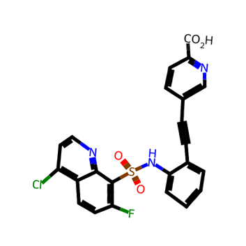 O=C(O)c1ccc(C#Cc2ccccc2NS(=O)(=O)c2c(F)ccc3c(Cl)ccnc23)cn1